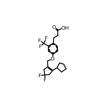 O=C(O)CCc1ccc(OCC2=C(C3CCCC3)CC(F)(F)C2)cc1C(F)(F)F